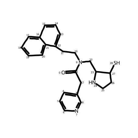 O=C(Cc1cccnc1)N(CCc1cccc2ccccc12)CC1NCCC1S